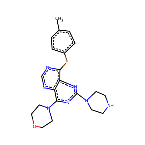 Cc1ccc(Sc2ncnc3c(N4CCOCC4)nc(N4CCNCC4)nc23)cc1